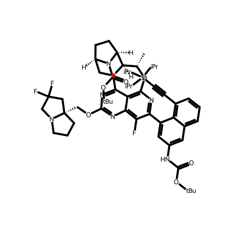 CC(C)[Si](C#Cc1cccc2cc(NC(=O)OC(C)(C)C)cc(-c3nc4c5c(nc(OC[C@]67CCCN6CC(F)(F)C7)nc5c3F)N3C[C@H]5CC[C@@H]([C@H]3[C@H](C)O4)N5C(=O)OC(C)(C)C)c12)(C(C)C)C(C)C